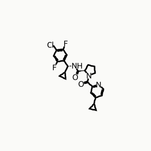 O=C(N[C@@H](c1cc(F)c(Cl)cc1F)C1CC1)[C@H]1CCCN1C(=O)c1cc(C2CC2)ccn1